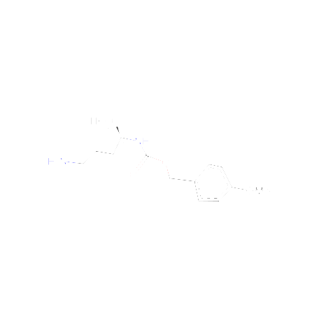 COc1ccc(COC(=O)N[C@@H](CCCN)C(=O)O)cc1